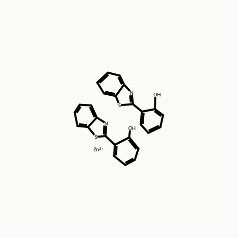 Oc1ccccc1-c1nc2ccccc2s1.Oc1ccccc1-c1nc2ccccc2s1.[Zn+2]